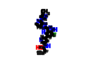 Cc1cn(-c2nccc3[nH]c(-c4n[nH]c5c(F)cc(-c6cncc(NC(O)CC(C)(C)C)c6)cc45)nc23)cn1